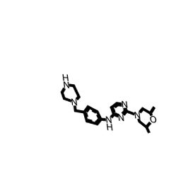 CC1CN(c2nccc(Nc3ccc(CN4CCNCC4)cc3)n2)CC(C)O1